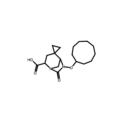 O=C(O)C1CC2(CC2)C2CN1C(=O)N2OC1CCCCCCCC1